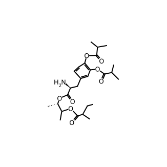 CCC(C)C(=O)OC(C)[C@H](C)OC(=O)[C@@H](N)Cc1ccc(OC(=O)C(C)C)c(OC(=O)C(C)C)c1